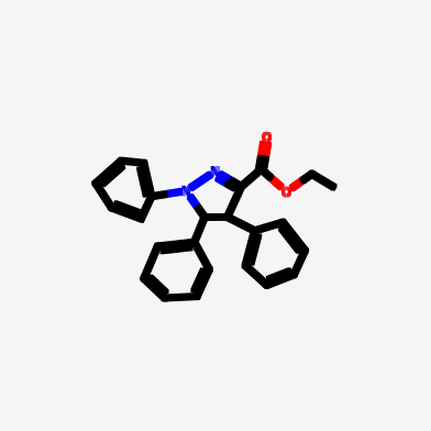 CCOC(=O)C1=NN(c2ccccc2)C(c2ccccc2)C1c1ccccc1